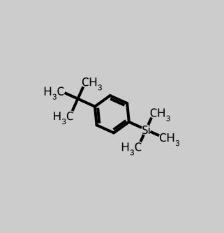 CC(C)(C)c1ccc([Si](C)(C)C)cc1